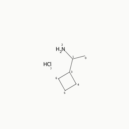 CC(N)C1CCC1.Cl